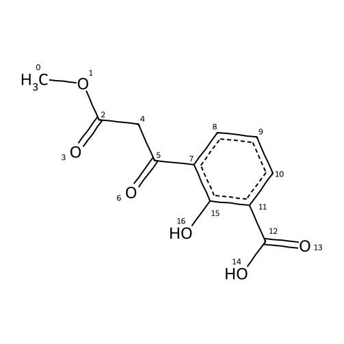 COC(=O)CC(=O)c1cccc(C(=O)O)c1O